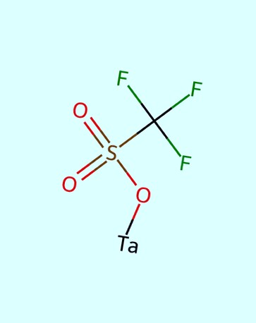 O=S(=O)([O][Ta])C(F)(F)F